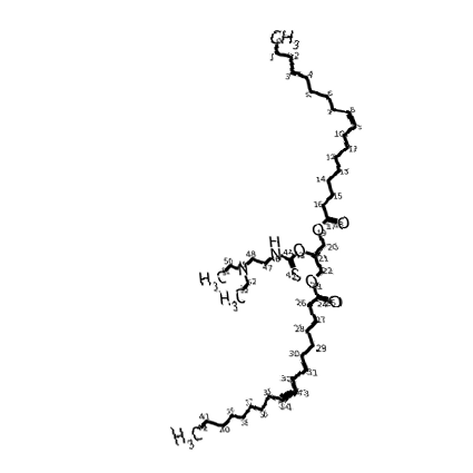 CCCCCCCC/C=C\CCCCCCCC(=O)OCC(COC(=O)CCCCCCC/C=C\CCCCCCCC)OC(=S)NCCN(CC)CC